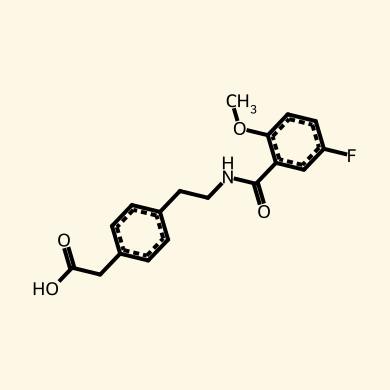 COc1ccc(F)cc1C(=O)NCCc1ccc(CC(=O)O)cc1